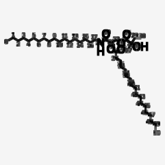 CCCCCCCCCCCCCCCCCCNC(=O)C(COC(=O)C(C)(O)CC)OC(=O)CCCCCCCCCCCCCCCCC